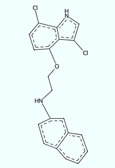 Clc1ccc(OCCNc2ccc3ccccc3c2)c2c(Cl)c[nH]c12